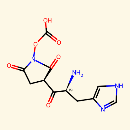 N[C@@H](Cc1c[nH]cn1)C(=O)C1CC(=O)N(OC(=O)O)C1=O